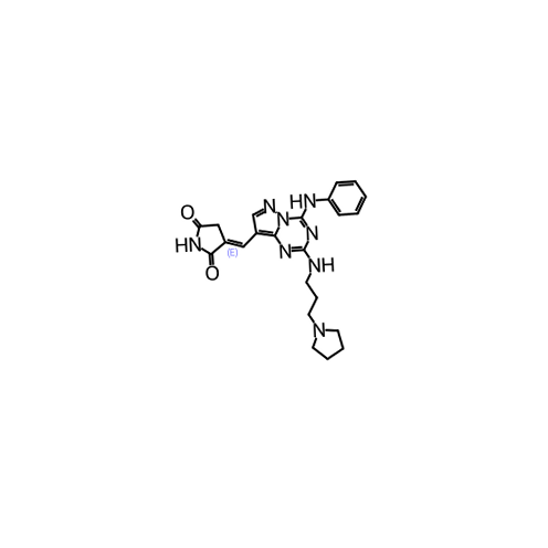 O=C1C/C(=C\c2cnn3c(Nc4ccccc4)nc(NCCCN4CCCC4)nc23)C(=O)N1